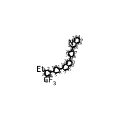 CCc1cc(-c2ccc(-c3ccc4ccc(-c5ccc(-c6cnc7ccccc7c6)cc5)cc4c3)cc2)cc(C(F)(F)F)c1